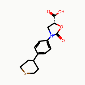 O=C(O)[C@H]1CN(c2ccc(C3CCSCC3)cc2)C(=O)O1